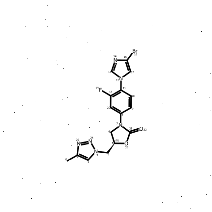 Cc1cn(C[C@H]2CN(c3ccc(-n4cnc(Br)c4)c(F)c3)C(=O)O2)nn1